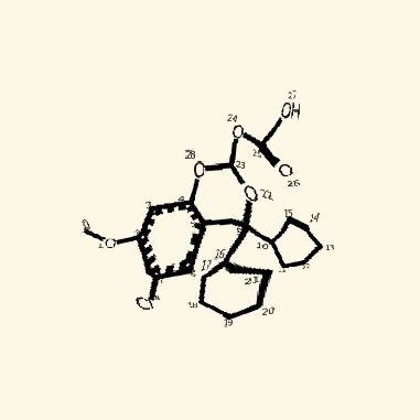 COc1cc2c(cc1Cl)C(C1CCCCC1)(C1CCCCC1)OC(OC(=O)O)O2